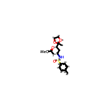 COC(=O)C[C@H](CCC1(C)OCCO1)N[S@@+]([O-])c1ccc(C)cc1